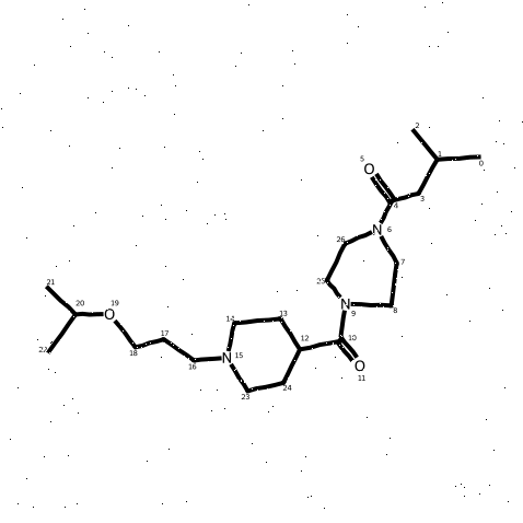 CC(C)CC(=O)N1CCN(C(=O)C2CCN(CCCOC(C)C)CC2)CC1